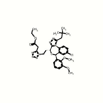 CCOC(=O)Cc1nnnn1CC[C@H]1O[C@H](c2cccc(OC)c2OC)c2cc(Cl)ccc2-n2c(CC(C)(C)C)nnc21